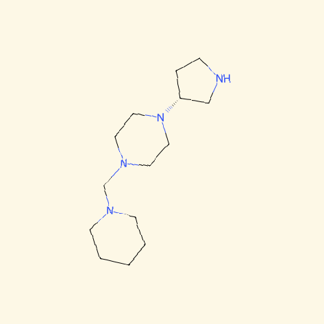 C1CCN(CN2CCN([C@@H]3CCNC3)CC2)CC1